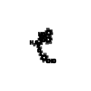 CN(CCOCCc1ccc(C=O)cc1)Cc1cnc(C(O)(c2ccccc2)c2ccccc2)o1